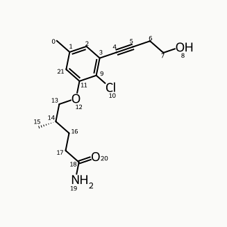 Cc1cc(C#CCCO)c(Cl)c(OC[C@@H](C)CCC(N)=O)c1